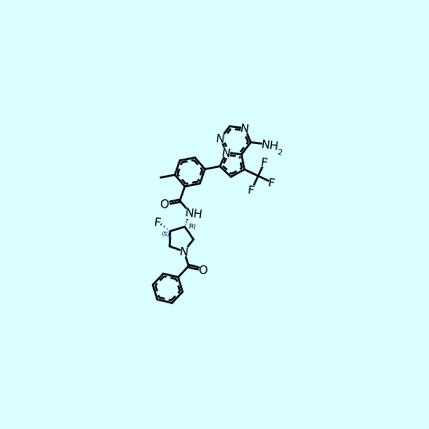 Cc1ccc(-c2cc(C(F)(F)F)c3c(N)ncnn23)cc1C(=O)N[C@@H]1CN(C(=O)c2ccccc2)C[C@@H]1F